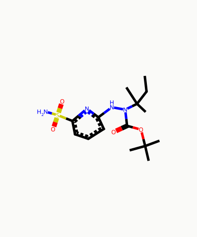 CCC(C)(C)N(Nc1cccc(S(N)(=O)=O)n1)C(=O)OC(C)(C)C